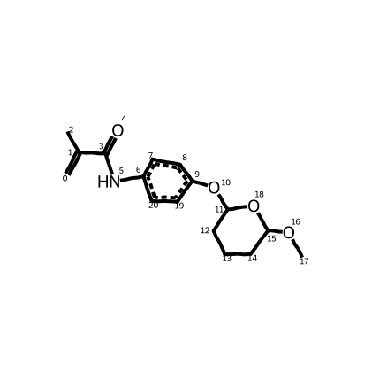 C=C(C)C(=O)Nc1ccc(OC2CCCC(OC)O2)cc1